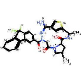 CC1CC(C(=O)N[C@H](C)c2cc(C(=N)N)cs2)N(C(=O)CNC(=O)c2ccc3c(c2)-c2ccccc2C3(F)F)C1